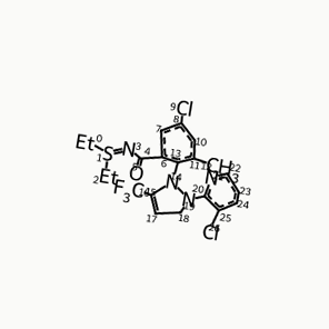 CCS(CC)=NC(=O)c1cc(Cl)cc(C)c1N1C(C(F)(F)F)=CCN1c1ncccc1Cl